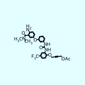 CC(=O)OCC#CCOc1ccc(C(F)(F)F)cc1NC(=O)Nc1cccc(Oc2ccc(N)c(C(=O)N(C)C)c2)c1